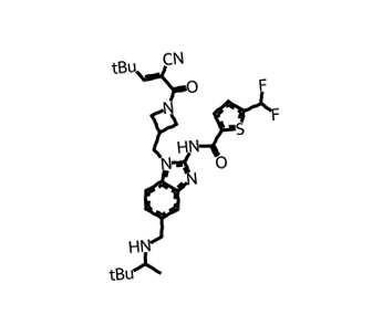 CC(NCc1ccc2c(c1)nc(NC(=O)c1ccc(C(F)F)s1)n2CC1CN(C(=O)C(C#N)=CC(C)(C)C)C1)C(C)(C)C